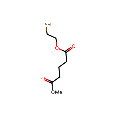 COC(=O)CCCC(=O)OCCS